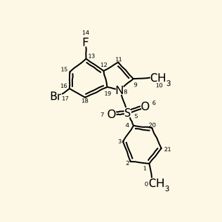 Cc1ccc(S(=O)(=O)n2c(C)cc3c(F)cc(Br)cc32)cc1